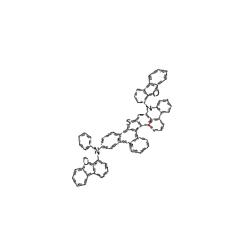 c1ccc(-c2ccccc2N(c2ccc3c(c2)sc2c4ccc(N(c5ccccc5)c5cccc6c5oc5ccccc56)cc4c4ccccc4c32)c2cccc3c2oc2ccccc23)cc1